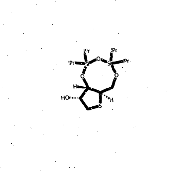 CC(C)[Si]1(C(C)C)OC[C@H]2SC[C@H](O)[C@@H]2O[Si](C(C)C)(C(C)C)O1